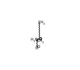 CCCCCCCCCCCCCCc1ccccc1C[N+](C)(C)CCCCCC(=O)[O-]